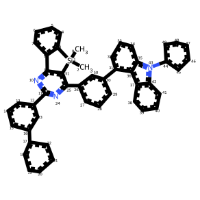 C[Si]1(C)c2ccccc2-c2nc(-c3cccc(-c4ccccc4)c3)nc(-c3cccc(-c4cccc5c4c4ccccc4n5-c4ccccc4)c3)c21